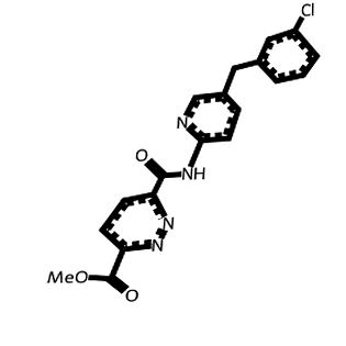 COC(=O)c1ccc(C(=O)Nc2ccc(Cc3cccc(Cl)c3)cn2)nn1